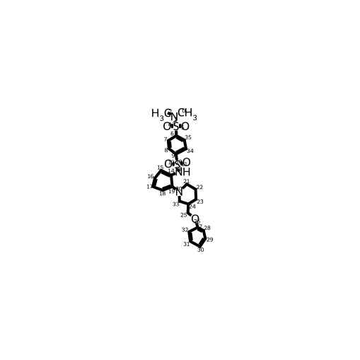 CN(C)S(=O)(=O)c1ccc(S(=O)(=O)Nc2ccccc2N2CCCC(COc3ccccc3)C2)cc1